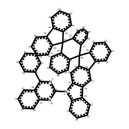 c1ccc(-c2nc(-n3c4ccccc4c4cc5c(cc43)C3(c4ccccc4-5)c4ccccc4C4(c5ccccc5-c5ccccc54)c4ccccc43)nc3ccccc23)cc1